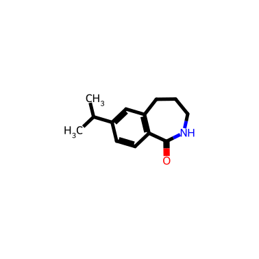 CC(C)c1ccc2c(c1)CCCNC2=O